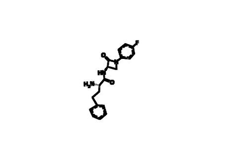 N[C@@H](CCc1ccccc1)C(=O)N[C@@H]1CN(c2ccc(F)cc2)C1=O